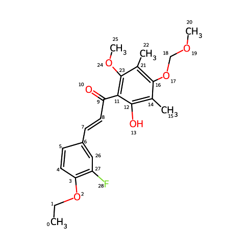 CCOc1ccc(C=CC(=O)c2c(O)c(C)c(OCOC)c(C)c2OC)cc1F